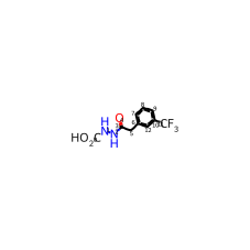 O=C(O)NNC(=O)Cc1cccc(C(F)(F)F)c1